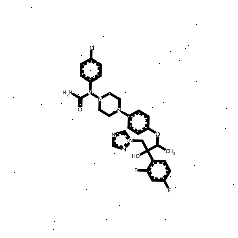 CC(Oc1ccc(N2CCN(N(C(N)=O)c3ccc(Cl)cc3)CC2)cc1)C(O)(Cn1cncn1)c1ccc(F)cc1F